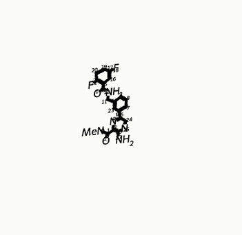 CNC(=O)c1nc(-c2cccc(CNC(=O)c3cc(F)ccc3F)c2)cnc1N